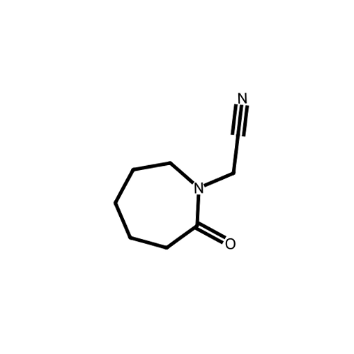 N#CCN1CCCCCC1=O